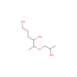 CC(O)COC(C)C(O)CCCO